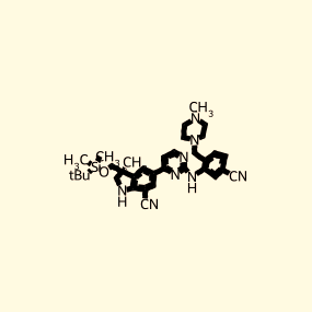 CN1CCN(Cc2ccc(C#N)cc2Nc2nccc(-c3cc(C#N)c4c(c3)[C@@](C)(CO[Si](C)(C)C(C)(C)C)CN4)n2)CC1